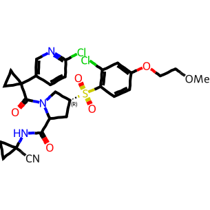 COCCOc1ccc(S(=O)(=O)[C@@H]2CC(C(=O)NC3(C#N)CC3)N(C(=O)C3(c4ccc(Cl)nc4)CC3)C2)c(Cl)c1